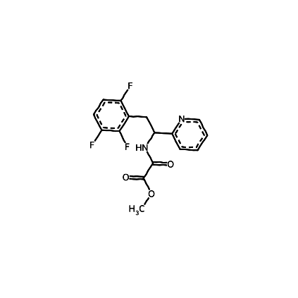 COC(=O)C(=O)NC(Cc1c(F)ccc(F)c1F)c1ccccn1